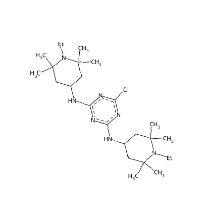 CCN1C(C)(C)CC(Nc2nc(Cl)nc(NC3CC(C)(C)N(CC)C(C)(C)C3)n2)CC1(C)C